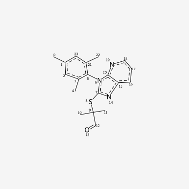 Cc1cc(C)c(-n2c(SC(C)(C)C=O)nc3cccnc32)c(C)c1